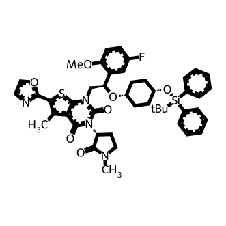 COc1ccc(F)cc1[C@H](Cn1c(=O)n([C@@H]2CCN(C)C2=O)c(=O)c2c(C)c(-c3ncco3)sc21)O[C@H]1CC[C@@H](O[Si](c2ccccc2)(c2ccccc2)C(C)(C)C)CC1